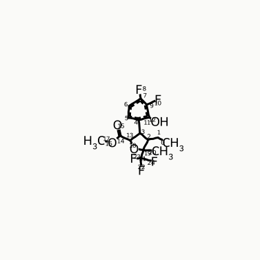 CCC1C(c2ccc(F)c(F)c2O)C(C(=O)OC)OC1(C)C(F)(F)F